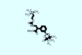 COC(=O)C(CNC(=O)OCC[Si](C)(C)C)c1cccc(B2OC(C)(C)C(C)(Cl)O2)c1